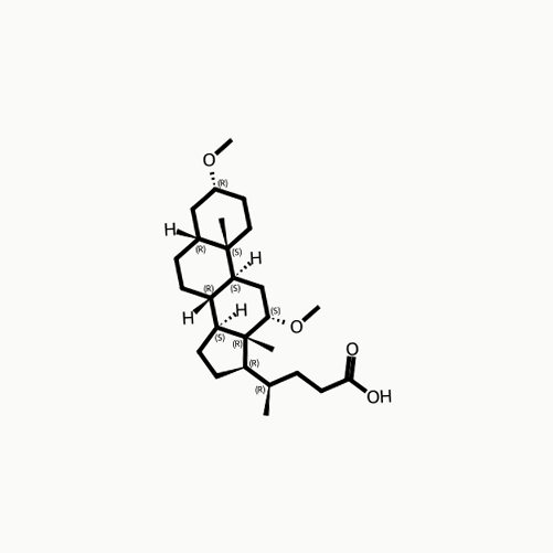 CO[C@@H]1CC[C@@]2(C)[C@H](CC[C@@H]3[C@@H]2C[C@H](OC)[C@]2(C)[C@@H]([C@H](C)CCC(=O)O)CC[C@@H]32)C1